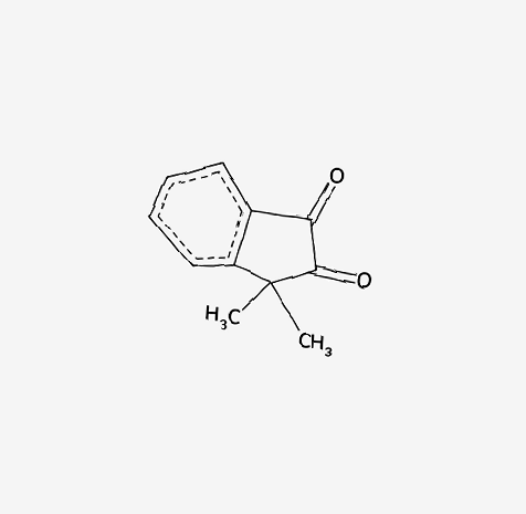 CC1(C)C(=O)C(=O)c2ccccc21